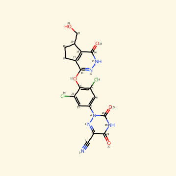 N#Cc1nn(-c2cc(Cl)c(Oc3n[nH]c(=O)c4c3CCC4CO)c(Cl)c2)c(=O)[nH]c1=O